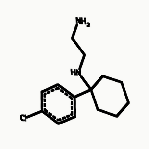 NCCNC1(c2ccc(Cl)cc2)CCCCC1